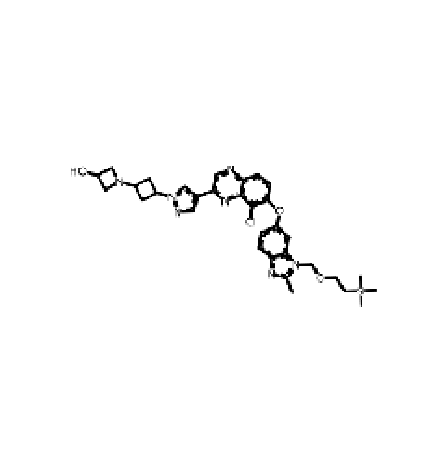 Cc1nc2ccc(Oc3ccc4ncc(-c5cnn(C6CC(N7CC(O)C7)C6)c5)nc4c3Cl)cc2n1COCC[Si](C)(C)C